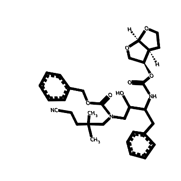 CC(C)(CCC#N)CN(CC(O)C(Cc1ccccc1)NC(=O)O[C@H]1CO[C@H]2OCC[C@H]21)C(=O)OCc1ccccc1